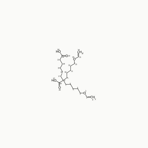 C=COCCCCCC(CCCCCOC=C)(CCCCCC(=O)O)C(=O)O